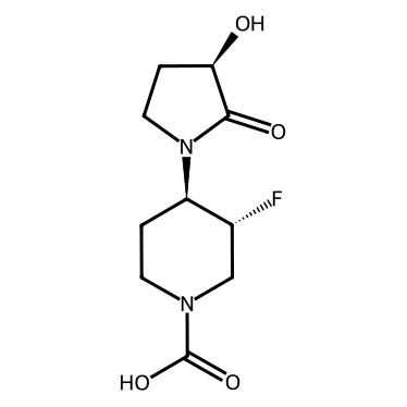 O=C(O)N1CC[C@@H](N2CC[C@@H](O)C2=O)[C@H](F)C1